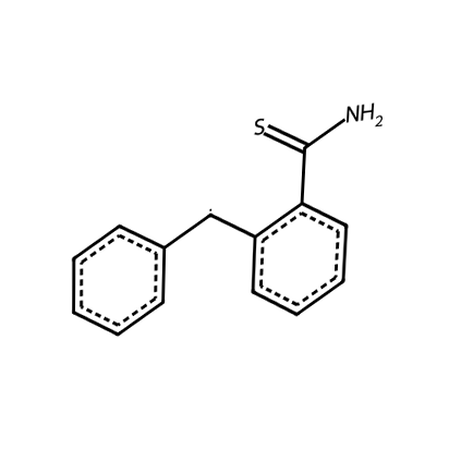 NC(=S)c1ccccc1[CH]c1ccccc1